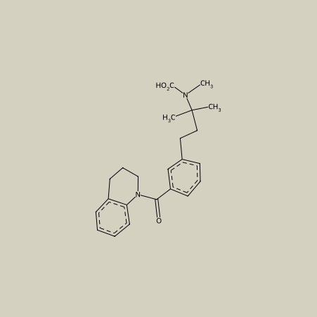 CN(C(=O)O)C(C)(C)CCc1cccc(C(=O)N2CCCc3ccccc32)c1